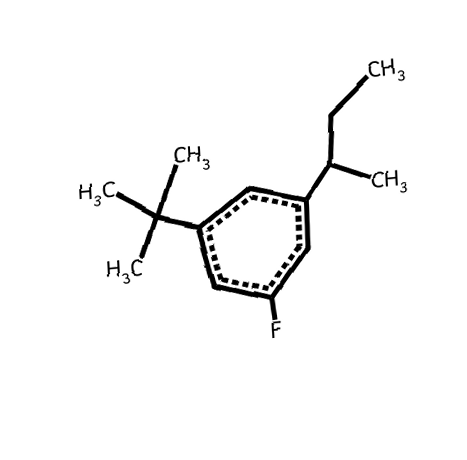 CCC(C)c1cc(F)cc(C(C)(C)C)c1